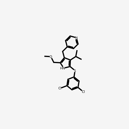 COCc1[nH]c(Sc2cc(Cl)cc(Cl)c2)c(C(C)C)c1Cc1ccncc1